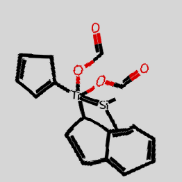 C[Si](C)=[Ti]([O]C=O)([O]C=O)([C]1=CC=CC1)[CH]1C=Cc2ccccc21